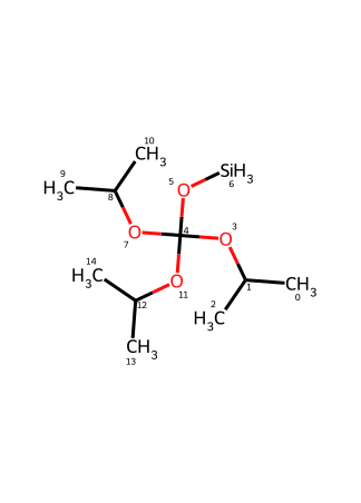 CC(C)OC(O[SiH3])(OC(C)C)OC(C)C